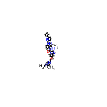 Cc1nn(Cc2cccc(C3CCCC3)n2)c2cccc(NC(=O)c3cnc4cc(OCCN5CCN(C)[C@@H](C)C5)ccn34)c12